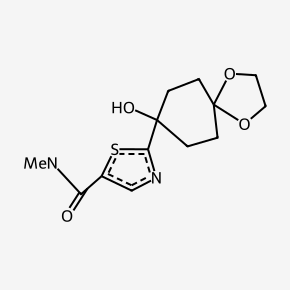 CNC(=O)c1cnc(C2(O)CCC3(CC2)OCCO3)s1